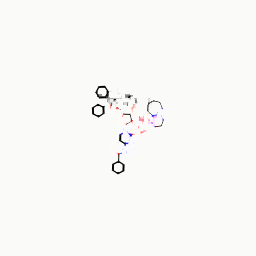 C1CCC2=NCCCN2CC1.CC(C)(C)[Si](C)(C)O[C@@H]1[C@@H](CO[Si](c2ccccc2)(c2ccccc2)C(C)(C)C)O[C@@H](n2ccc(NC(=O)c3ccccc3)nc2=O)[C@@]1(O)O[PH](=O)O